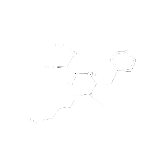 CCCCOC(=O)[C@@H](Cc1ccccc1)NC(=O)[C@@H](C)NC